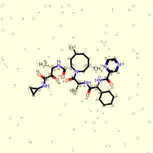 CCC1CC[C@H](C)CN(C(=O)[C@@H](NC(=O)[C@@H](NC(=O)c2cnccn2)C2CCCCC2)C(C)(C)C)[C@H](C(=O)N[C@@H](C)C(=O)C(=O)NC2CC2)C1